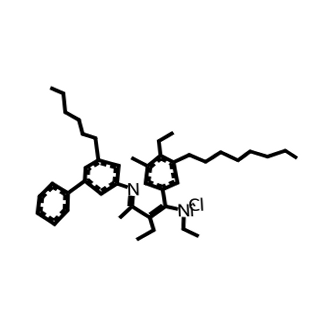 CCCCCCCCc1cc([C](=C(CC)C(C)=Nc2cc(CCCCCC)cc(-c3ccccc3)c2)[Ni]([Cl])[CH2]C)cc(C)c1CC